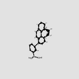 OB(O)c1cccc(-c2ccc3ccc4cccc5ccc2c3c45)c1